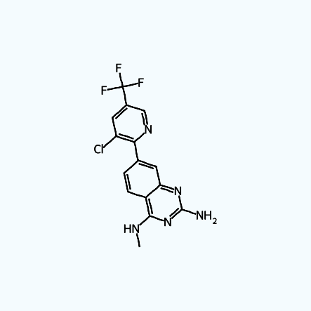 CNc1nc(N)nc2cc(-c3ncc(C(F)(F)F)cc3Cl)ccc12